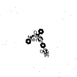 CC(C)n1ncn(-c2ccc(N3CCN(C(C(=O)NCc4nc5ccccc5[nH]4)c4ccccc4)CC3)cc2)c1=O